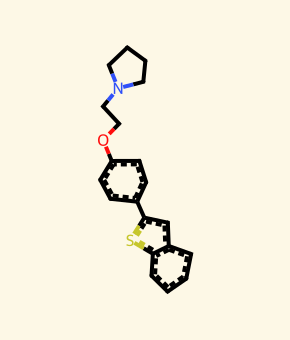 c1ccc2sc(-c3ccc(OCCN4CCCC4)cc3)cc2c1